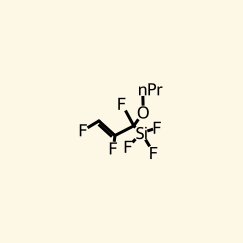 CCCOC(F)(C(F)=CF)[Si](F)(F)F